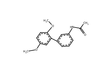 COc1ccc(OC)c(-c2[c]ccc(NC(C)=O)c2)c1